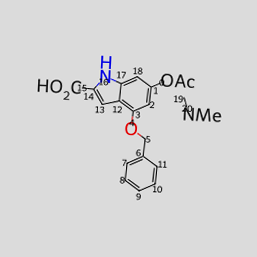 CC(=O)Oc1cc(OCc2ccccc2)c2cc(C(=O)O)[nH]c2c1.CNC